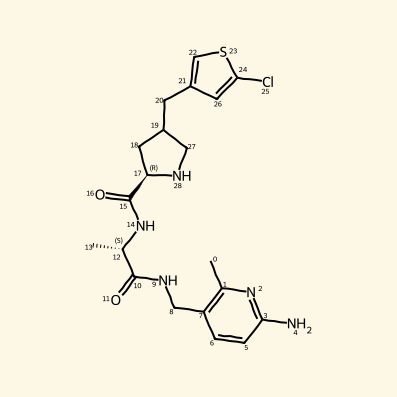 Cc1nc(N)ccc1CNC(=O)[C@H](C)NC(=O)[C@H]1CC(Cc2csc(Cl)c2)CN1